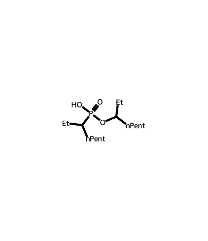 CCCCCC(CC)OP(=O)(O)C(CC)CCCCC